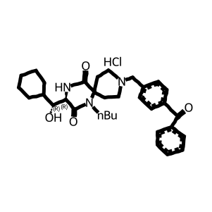 CCCCN1C(=O)[C@@H]([C@H](O)C2CCCCC2)NC(=O)C12CCN(Cc1ccc(C(=O)c3ccccc3)cc1)CC2.Cl